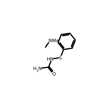 CNC.NC(=O)NSc1ccccc1